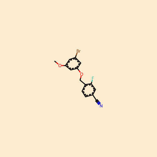 COc1cc(Br)cc(OCc2ccc(C#N)cc2F)c1